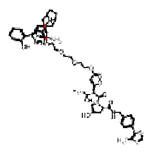 Cc1ncsc1-c1ccc(CNC(=O)[C@@H]2C[C@@H](O)CN2C(=O)[C@H](c2cc(OCCOCCOCCOc3cc(N4C5CCC4CN(c4cc(-c6ccccc6O)nnc4N)C5)ccn3)no2)C(C)C)cc1